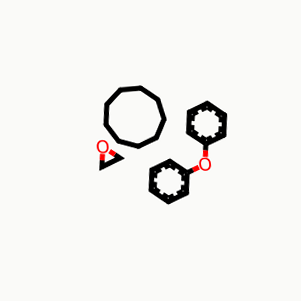 C1CCCCCCCC1.C1CO1.c1ccc(Oc2ccccc2)cc1